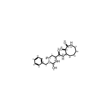 CC(C)CC(NC(O)OCc1ccccc1)C(=O)NC1CCCCNC(=O)C1=O